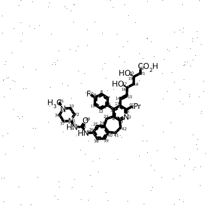 CC(C)c1nc2c(c(-c3ccc(F)cc3)c1/C=C/[C@@H](O)C[C@@H](O)CC(=O)O)Cc1cc(NC(=O)NN3CCN(C)CC3)ccc1CC2